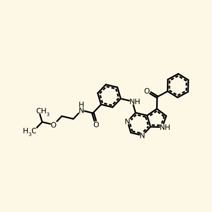 CC(C)OCCNC(=O)c1cccc(Nc2ncnc3[nH]cc(C(=O)c4ccccc4)c23)c1